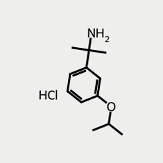 CC(C)Oc1cccc(C(C)(C)N)c1.Cl